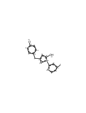 Cc1ccnc(-n2nc(Cc3ccc(Cl)cc3)cc2O)c1